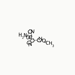 CCOc1ccc(-c2cc(OCc3ncccc3C(N)=O)c3cccnc3c2)cn1